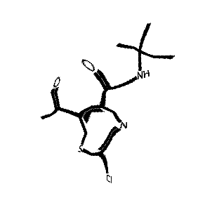 CC(=O)c1sc(Cl)nc1C(=O)NC(C)(C)C